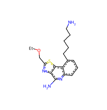 CCOCc1nc2c(N)nc3cccc(CCCCCN)c3c2s1